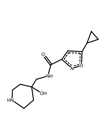 O=C(NCC1(O)CCNCC1)c1cc(C2CC2)on1